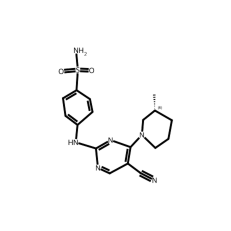 C[C@@H]1CCCN(c2nc(Nc3ccc(S(N)(=O)=O)cc3)ncc2C#N)C1